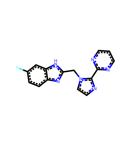 Fc1ccc2nc(Cn3ccnc3-c3ncccn3)[nH]c2c1